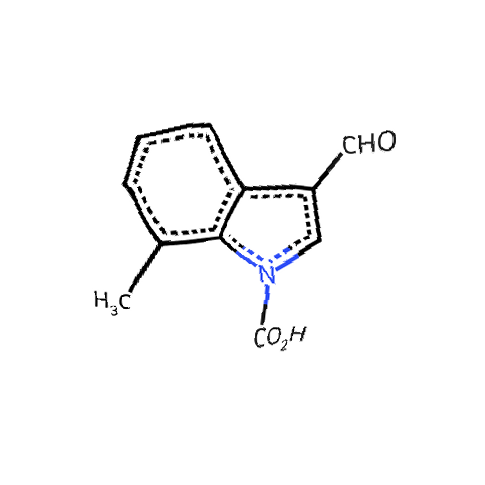 Cc1cccc2c(C=O)cn(C(=O)O)c12